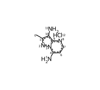 Cc1nn2c(N)ccnc2c1N.Cl